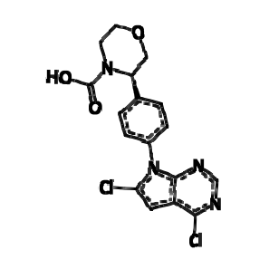 O=C(O)N1CCOC[C@H]1c1ccc(-n2c(Cl)cc3c(Cl)ncnc32)cc1